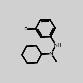 CN(Nc1cccc(F)c1)C1CCCCC1